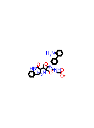 COC(=O)CNC(=O)N(C(=O)C(C)(N)[C@H](C)C1CCc2ccccc2NC1=O)c1ccc(-c2ccccc2N)cc1